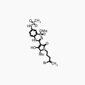 C=C(Br)CCCN1C(=O)C(C2=NP(=O)(OC)c3cc(NS(C)(=O)=O)ccc3N2)=C(O)[C@@H]1C(C)(C)C